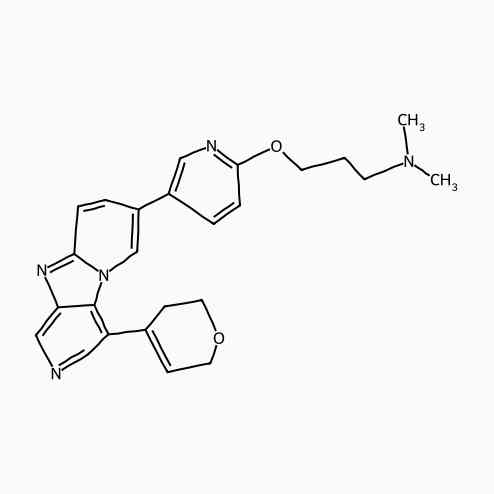 CN(C)CCCOc1ccc(-c2ccc3nc4cncc(C5=CCOCC5)c4n3c2)cn1